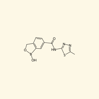 Cc1nnc(NC(=O)c2ccc3c(c2)B(O)OC3)s1